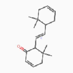 CC1(C)CC=CCC1/C=C/C1C(=O)C=CCC1(C)C